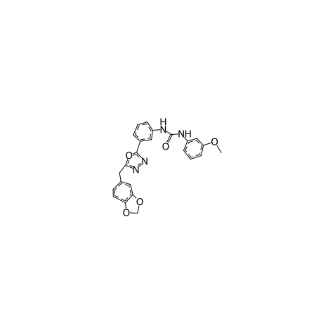 COc1cccc(NC(=O)Nc2cccc(-c3nnc(Cc4ccc5c(c4)OCO5)o3)c2)c1